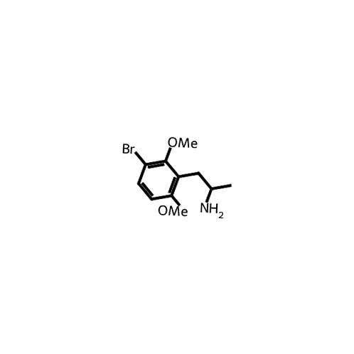 COc1ccc(Br)c(OC)c1CC(C)N